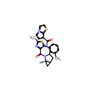 Cc1cccc(-c2sc(C)nc2C(=O)N2C(CNC(=O)c3ccn4ccsc34)CC3C[C@@H]32)c1